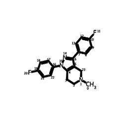 CN1CCc2c(c(-c3ccc(F)cc3)nn2-c2ccc(F)cc2)C1